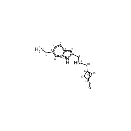 NCc1ccc2cc(CNCC34CC(F)(C3)C4)[nH]c2c1